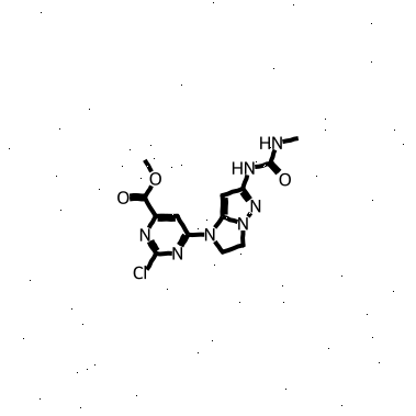 CNC(=O)Nc1cc2n(n1)CCN2c1cc(C(=O)OC)nc(Cl)n1